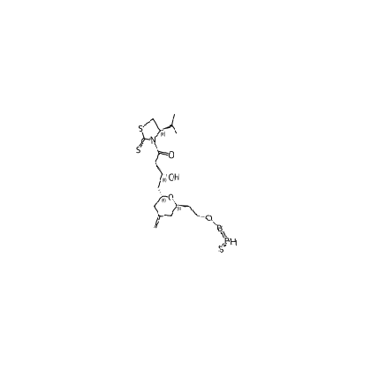 C=C1C[C@H](C[C@@H](O)CC(=O)N2C(=S)SC[C@H]2C(C)C)O[C@@H](CCOB=[PH]=S)C1